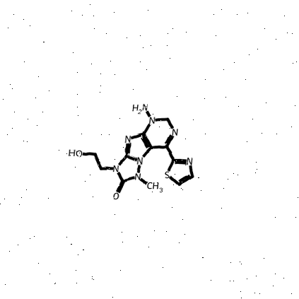 Cn1c(=O)n(CCO)c2nc3c(n21)C(c1nccs1)=NCN3N